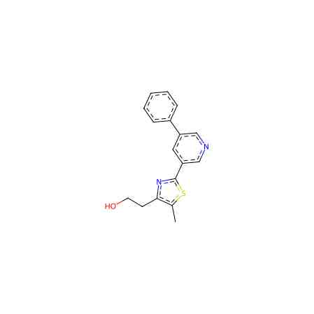 Cc1sc(-c2cncc(-c3ccccc3)c2)nc1CCO